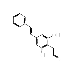 Oc1cc(/C=C/c2ccccc2)cc(O)c1CC=S